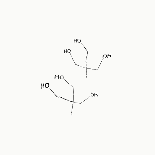 CC(CO)(CO)CO.CC(CO)(CO)CO